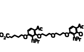 CCCc1c(OCCCOCCCOc2c(C(C)=O)ccc(OCCCCC(=O)O)c2CCC)ccc(C(C)=O)c1O